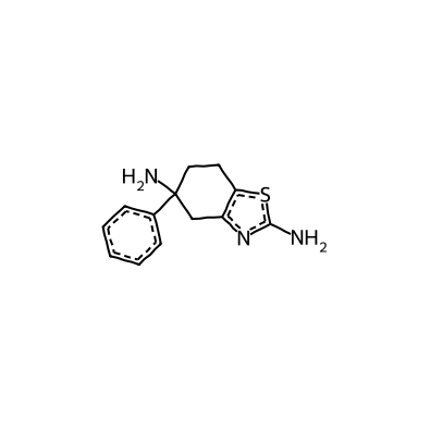 Nc1nc2c(s1)CCC(N)(c1ccccc1)C2